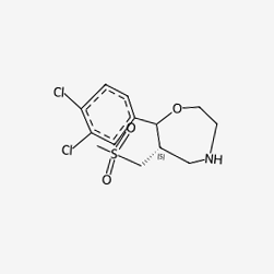 CS(=O)(=O)C[C@H]1CNCCOC1c1ccc(Cl)c(Cl)c1